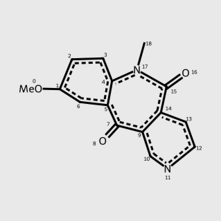 COc1ccc2c(c1)c(=O)c1cnccc1c(=O)n2C